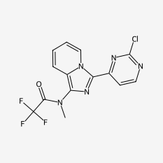 CN(C(=O)C(F)(F)F)c1nc(-c2ccnc(Cl)n2)n2ccccc12